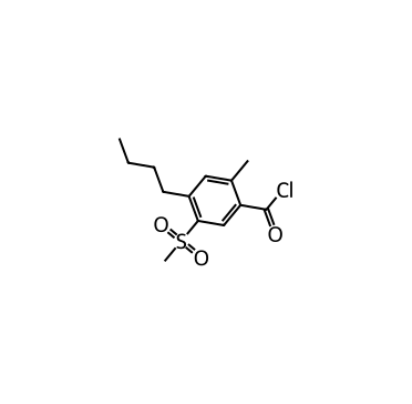 CCCCc1cc(C)c(C(=O)Cl)cc1S(C)(=O)=O